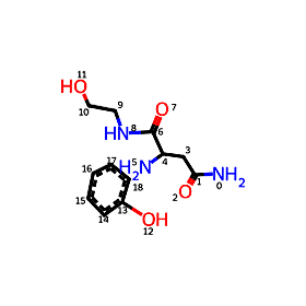 NC(=O)CC(N)C(=O)NCCO.Oc1ccccc1